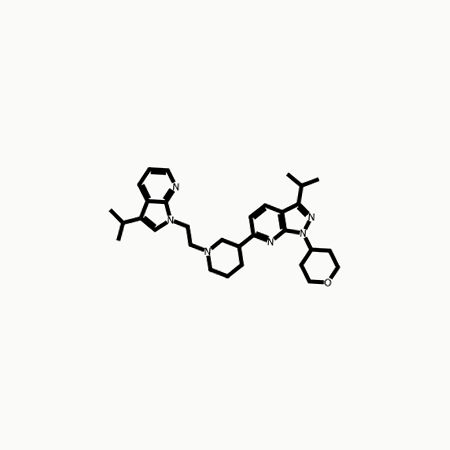 CC(C)c1cn(CCN2CCCC(c3ccc4c(C(C)C)nn(C5CCOCC5)c4n3)C2)c2ncccc12